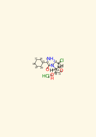 Cl.NC(C(=O)N1C[C@H](Cl)[C@H]2OC[C@H](O)[C@H]21)C1CCCCC1